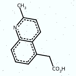 Cc1ccc2c(CC(=O)O)cccc2n1